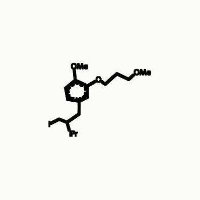 COCCCOc1cc(CC(CI)C(C)C)ccc1OC